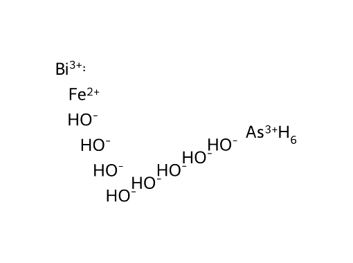 [AsH6+3].[Bi+3].[Fe+2].[OH-].[OH-].[OH-].[OH-].[OH-].[OH-].[OH-].[OH-]